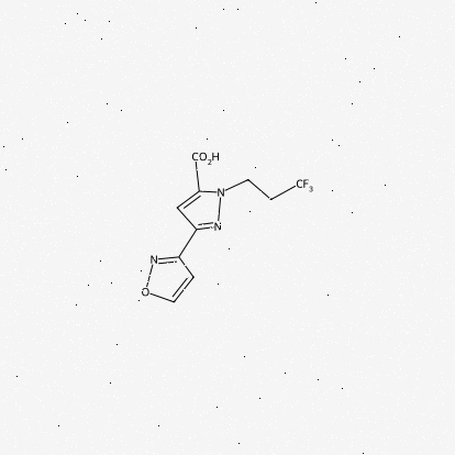 O=C(O)c1cc(-c2ccon2)nn1CCC(F)(F)F